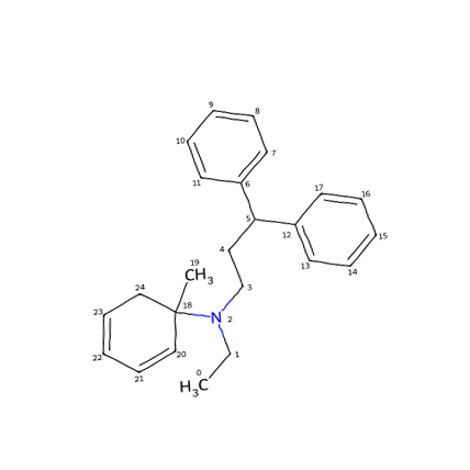 CCN(CCC(c1ccccc1)c1ccccc1)C1(C)C=CC=CC1